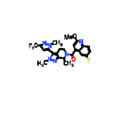 COc1cc(C(=O)N2CCc3c(nn(C)c3-c3cc(C(F)(F)F)nn3C)C2C)c2cc(F)ccc2n1